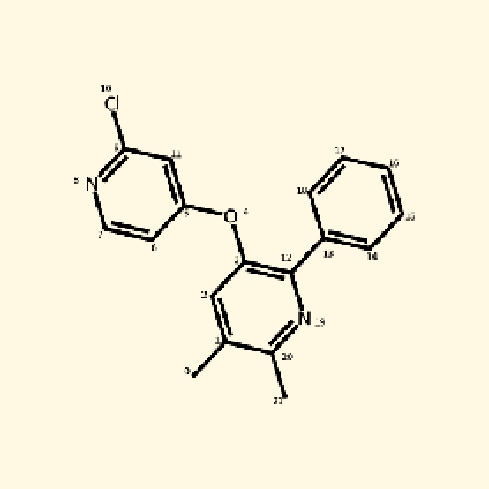 Cc1cc(Oc2ccnc(Cl)c2)c(-c2ccccc2)nc1C